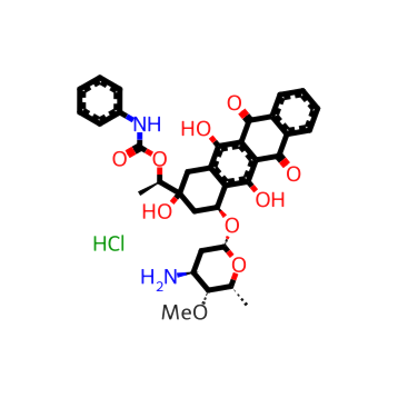 CO[C@@H]1[C@@H](N)C[C@H](O[C@H]2CC(O)([C@@H](C)OC(=O)Nc3ccccc3)Cc3c(O)c4c(c(O)c32)C(=O)c2ccccc2C4=O)O[C@@H]1C.Cl